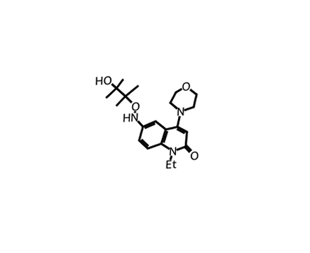 CCn1c(=O)cc(N2CCOCC2)c2cc(NOC(C)(C)C(C)(C)O)ccc21